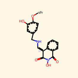 CCCOc1ccc(CN/C=C2/C(=O)N(O)C(=O)c3ccccc32)cc1O